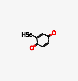 O=C1C=CC(=O)C([SeH])=C1